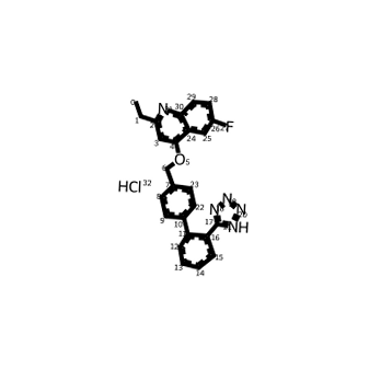 CCc1cc(OCc2ccc(-c3ccccc3-c3nnn[nH]3)cc2)c2cc(F)ccc2n1.Cl